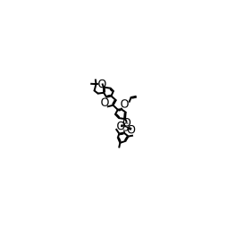 C=CCOc1cc(OS(=O)(=O)c2c(C)cc(C)cc2C)ccc1C1=Cc2ccc3c(c2OC1)CCC(C)(C)O3